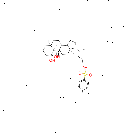 Cc1ccc(S(=O)(=O)OCCC[C@@H](C)[C@H]2CCC3=C4CC[C@@H]5CCCC(O)(O)[C@]5(C)[C@H]4CC[C@@]32C)cc1